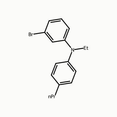 CCCc1ccc(N(CC)c2cccc(Br)c2)cc1